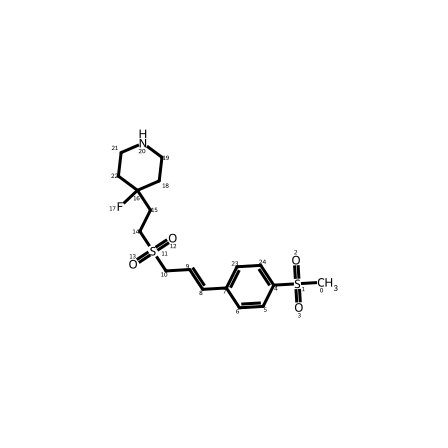 CS(=O)(=O)c1ccc(C=CCS(=O)(=O)CCC2(F)CCNCC2)cc1